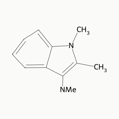 CNc1c(C)n(C)c2ccccc12